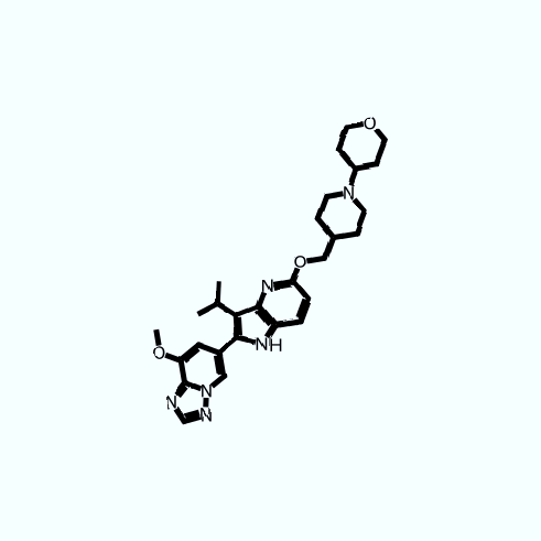 COc1cc(-c2[nH]c3ccc(OCC4CCN(C5CCOCC5)CC4)nc3c2C(C)C)cn2ncnc12